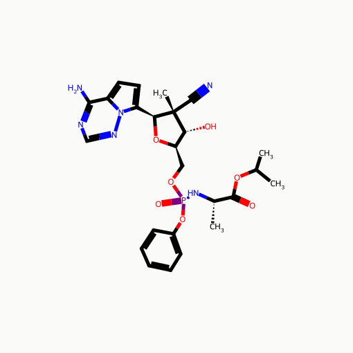 CC(C)OC(=O)[C@H](C)N[P@](=O)(OC[C@H]1O[C@@H](c2ccc3c(N)ncnn23)[C@](C)(C#N)[C@@H]1O)Oc1ccccc1